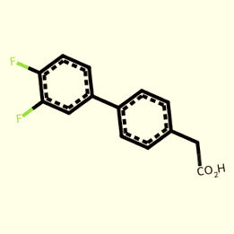 O=C(O)Cc1ccc(-c2ccc(F)c(F)c2)cc1